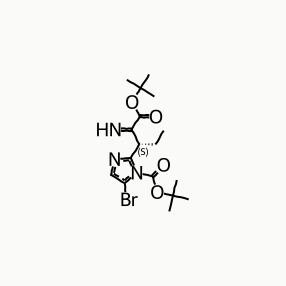 CC[C@@H](C(=N)C(=O)OC(C)(C)C)c1ncc(Br)n1C(=O)OC(C)(C)C